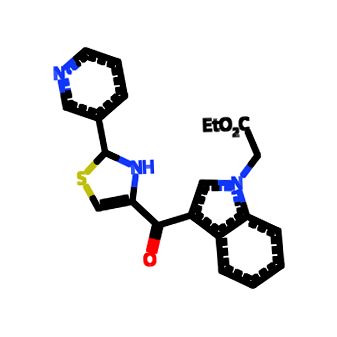 CCOC(=O)Cn1cc(C(=O)C2=CSC(c3cccnc3)N2)c2ccccc21